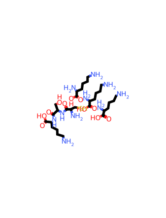 NCCCCC(N)C(=O)O.NCCCCC(N)C(=O)O.NCCCCC(N)C(=O)O.NCCCCC(NC(=O)C(CO)NC(=O)C(N)CS)C(=O)O